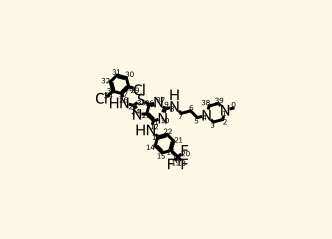 CN1CCN(CCCNc2nc(Nc3ccc(C(F)(F)F)cc3)c3nc(Nc4c(Cl)cccc4Cl)sc3n2)CC1